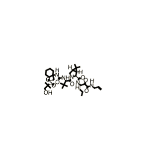 C=CCNC(=O)C(=O)[C@H](CCC)NC(=O)[C@@H]1[C@@H]2[C@H](CN1C(=O)[C@@H](NC(=O)NC1(CS(=O)(=O)C(C)(C)CO)CCCCC1)C(C)(C)C)C2(C)C